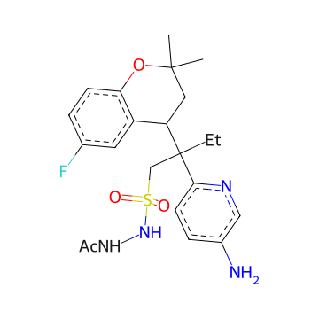 CCC(CS(=O)(=O)NNC(C)=O)(c1ccc(N)cn1)C1CC(C)(C)Oc2ccc(F)cc21